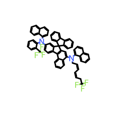 FC(F)(F)C/C=C\C=C/CN(c1cccc2ccccc12)c1cc2c(c3ccccc13)-c1ccc(N(c3ccccc3C(F)(F)F)c3cccc4ccccc34)cc1C21c2ccccc2-c2ccccc21